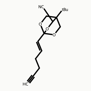 C#CCC/C=C/C12OCC(C(C)(C)C)(CO1)C(C#N)O2